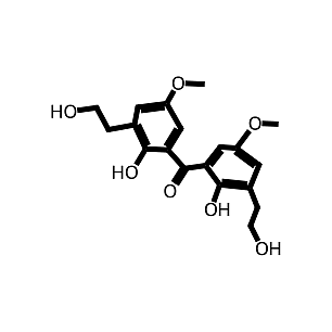 COc1cc(CCO)c(O)c(C(=O)c2cc(OC)cc(CCO)c2O)c1